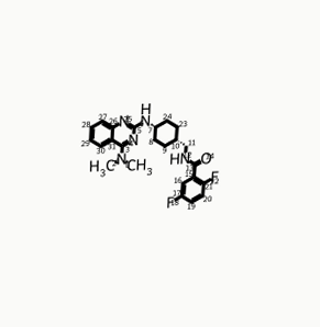 CN(C)c1nc(N[C@H]2CC[C@@H](CNC(=O)c3cc(F)ccc3F)CC2)nc2ccccc12